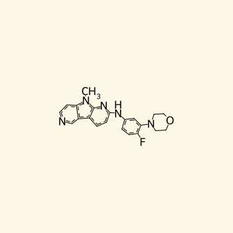 Cn1c2ccncc2c2ccc(Nc3ccc(F)c(N4CCOCC4)c3)nc21